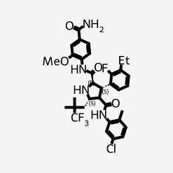 CCc1cccc([C@@H]2C(C(=O)Nc3cc(Cl)ccc3C)[C@H](CC(C)(C)C(F)(F)F)N[C@H]2C(=O)Nc2ccc(C(N)=O)cc2OC)c1F